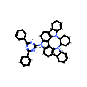 C1=CCCC(c2nc(-c3ccccc3)nc(N3C4=C5C6=C(CC4)C4CCC=CC4N6C4CCCCC4N4C6=C(CCC3C56)C3CCC=CC34)n2)=C1